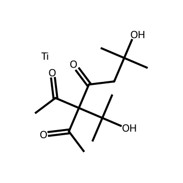 CC(=O)C(C(C)=O)(C(=O)CC(C)(C)O)C(C)(C)O.[Ti]